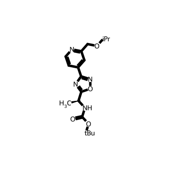 CC(C)OCc1cc(-c2noc([C@H](C)NC(=O)OC(C)(C)C)n2)ccn1